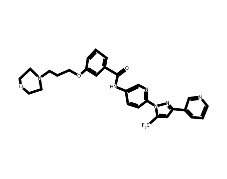 O=C(Nc1ccc(-n2nc(-c3cccnc3)cc2C(F)(F)F)nc1)c1cccc(OCCCN2CCOCC2)c1